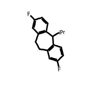 CC(C)C1c2ccc(F)cc2CCc2cc(F)ccc21